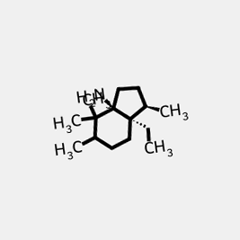 CC[C@]12CCC(C)C(C)(C)[C@]1(N)CC[C@H]2C